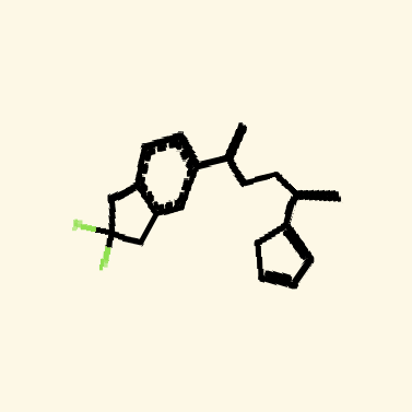 C=C(CCC(=C)c1ccc2c(c1)CC(F)(F)C2)C1=CC=CC1